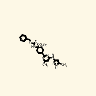 CCOC(=O)C1(NC(=O)OCc2ccccc2)CC=C(c2nc(C)cc(Nc3cc(C)[nH]n3)n2)CC1